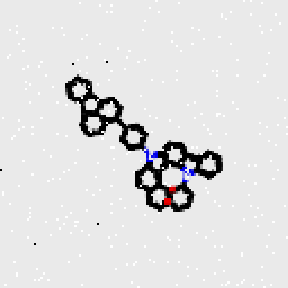 c1ccc(-n2c3ccccc3c3ccc4c(c5c6ccccc6ccc5n4-c4ccc(-c5ccc6c7c(cccc57)-c5ccccc5-6)cc4)c32)cc1